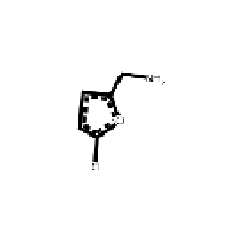 NCc1ccc(Cl)o1